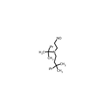 CC(C)C(C)(C)CCN(CCN=O)C(C)(C)C(C)C